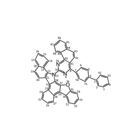 c1ccc(-c2ccc(-c3nc(-n4c5c6ccccc6ccc5c5c6ccccc6c6c7ccccc7oc6c54)nc4c3ccc3ccccc34)cc2)cc1